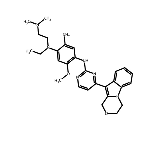 CCN(CCN(C)C)c1cc(OC)c(Nc2nccc(-c3c4n(c5ccccc35)CCOC4)n2)cc1N